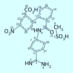 CS(=O)(=O)O.N=C(N)c1ccc(NC(=O)c2ccccc2-c2ccc([N+](=O)[O-])cc2C(=O)O)cc1